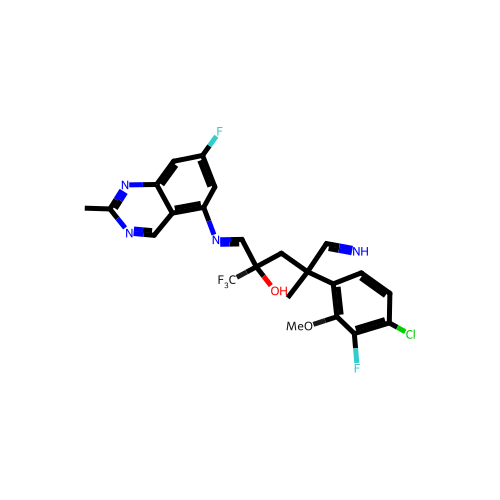 COc1c(C(C)(C=N)CC(O)(C=Nc2cc(F)cc3nc(C)ncc23)C(F)(F)F)ccc(Cl)c1F